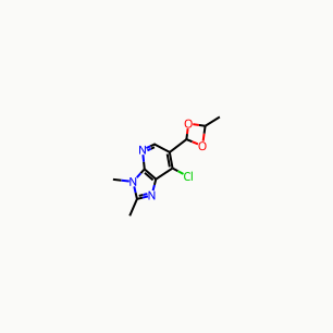 Cc1nc2c(Cl)c(C3OC(C)O3)cnc2n1C